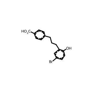 O=C(O)c1ccc(CCCc2cc(Br)ccc2O)cc1